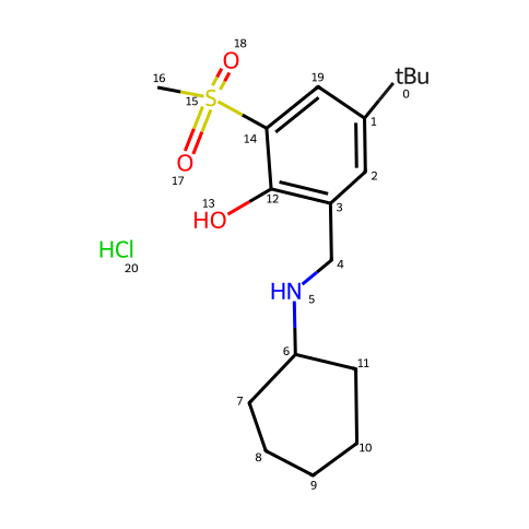 CC(C)(C)c1cc(CNC2CCCCC2)c(O)c(S(C)(=O)=O)c1.Cl